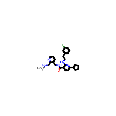 O=C(O)NCc1ncccc1CNC(=O)c1ccc(C2=CCCC2)nc1NCCc1cccc(F)c1